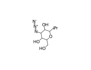 CC(C)C1OC(CO)C(O)C(N=[N+]=[N-])C1O